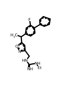 CCNC(=N)NCc1cc(C(C)c2ccc(-c3ccccc3)c(F)c2)on1